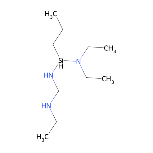 CCC[SiH](NCNCC)N(CC)CC